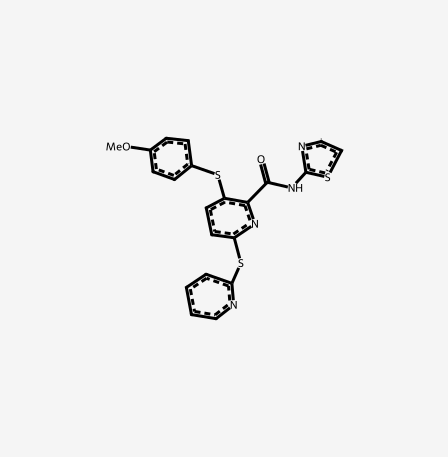 COc1ccc(Sc2ccc(Sc3ccccn3)nc2C(=O)Nc2n[c]cs2)cc1